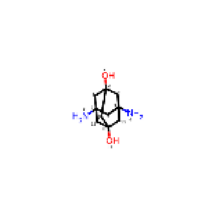 NC12CC3(N)CC(O)(C1)CC(O)(C2)C3